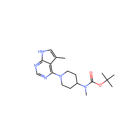 Cc1c[nH]c2ncnc(N3CCC(N(C)C(=O)OC(C)(C)C)CC3)c12